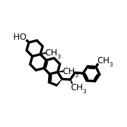 Cc1cccc(C[C@@H](C)[C@H]2CC=C3C4=C(CC[C@@]32C)[C@@]2(C)CCC(O)CC2CC4)c1